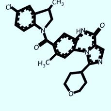 Cc1cc2c(cc1C(=O)N1CC(C)c3cc(Cl)ccc31)[nH]c(=O)c1cnc(C3CCOCC3)n12